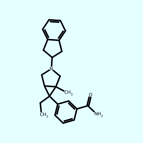 CCC1(c2cccc(C(N)=O)c2)C2CN(C3Cc4ccccc4C3)CC21C